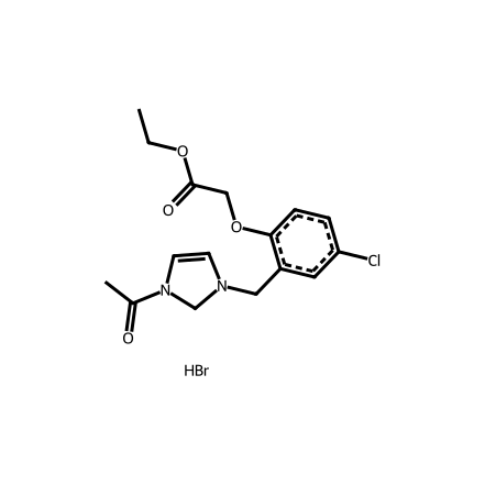 Br.CCOC(=O)COc1ccc(Cl)cc1CN1C=CN(C(C)=O)C1